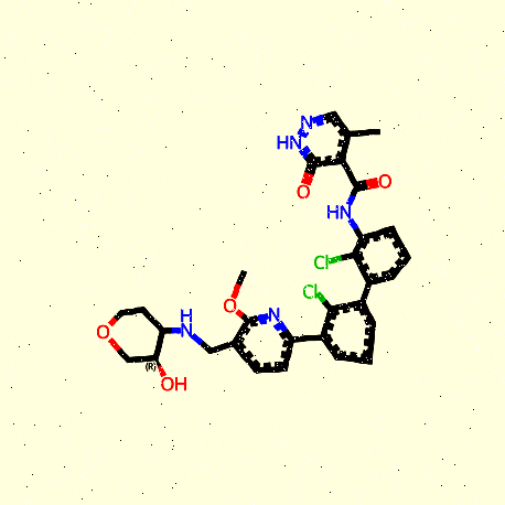 COc1nc(-c2cccc(-c3cccc(NC(=O)c4c(C)cn[nH]c4=O)c3Cl)c2Cl)ccc1CNC1CCOC[C@@H]1O